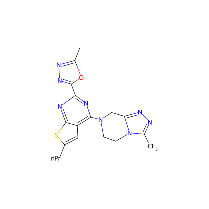 CCCc1cc2c(N3CCn4c(nnc4C(F)(F)F)C3)nc(-c3nnc(C)o3)nc2s1